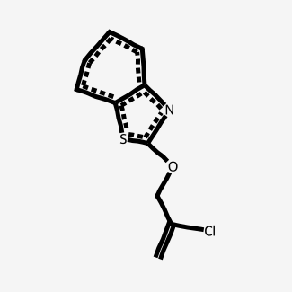 C=C(Cl)COc1nc2ccccc2s1